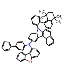 CC1(C)CCC(C)(C)c2c(-c3ccccc3-n3c4ccc(N(c5ccc(-c6ccccc6)cc5)c5cccc6oc7ccccc7c56)cc4c4c5ccccc5ccc43)cccc21